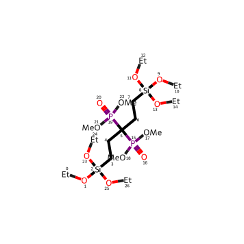 CCO[Si](CCC(CC[Si](OCC)(OCC)OCC)(P(=O)(OC)OC)P(=O)(OC)OC)(OCC)OCC